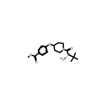 COC(=O)c1ccc(OC2CCN(C(=O)[C@@H](N)C(C)(C)C)CC2)cc1